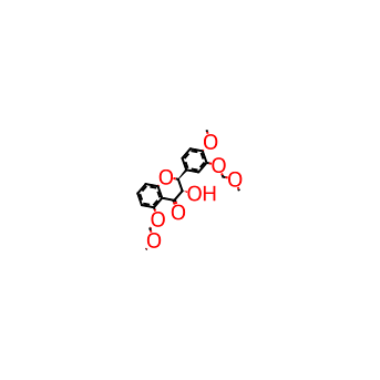 COCOc1cc([C@@H]2Oc3cccc(OCOC)c3C(=O)[C@H]2O)ccc1OC